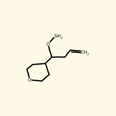 C=CCC(O[SiH3])C1CCOCC1